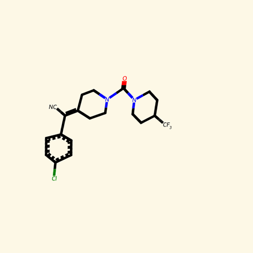 N#CC(=C1CCN(C(=O)N2CCC(C(F)(F)F)CC2)CC1)c1ccc(Cl)cc1